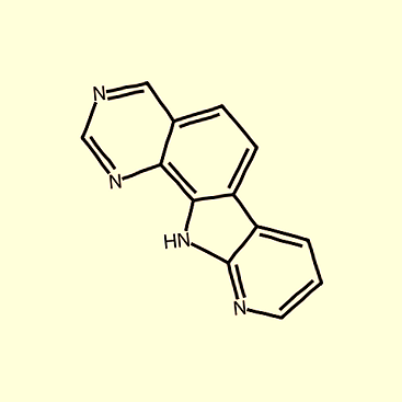 c1cnc2[nH]c3c(ccc4cncnc43)c2c1